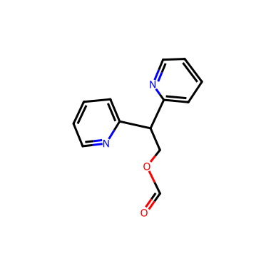 O=COCC(c1ccccn1)c1ccccn1